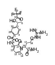 CCc1ccc(S(=O)(=O)Nc2ccc(C)n(C(CCONC(=N)N)C(N)=O)c2=O)cc1.O=C(O)C(F)(F)F